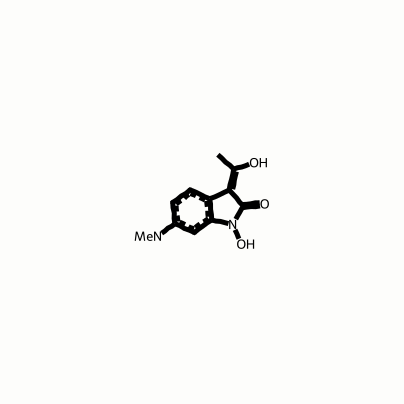 CNc1ccc2c(c1)N(O)C(=O)/C2=C(/C)O